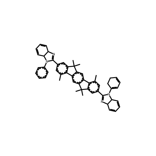 Cc1cc(C2=NC3C=CC=CC3N2C2=CC=CCC2)cc2c1-c1cc3c(cc1C2(C)C)-c1c(C)cc(C2=NC4C=CC=CC4N2c2ccccc2)cc1C3(C)C